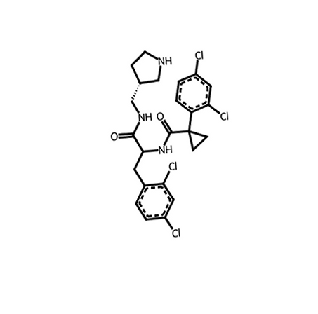 O=C(NC[C@@H]1CCNC1)C(Cc1ccc(Cl)cc1Cl)NC(=O)C1(c2ccc(Cl)cc2Cl)CC1